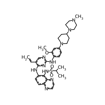 C=Cc1cnc(Nc2ccc(N3CCC(N4CCN(C)CC4)CC3)cc2OC)nc1Nc1ccc2nccnc2c1NS(=O)(=O)C(C)C